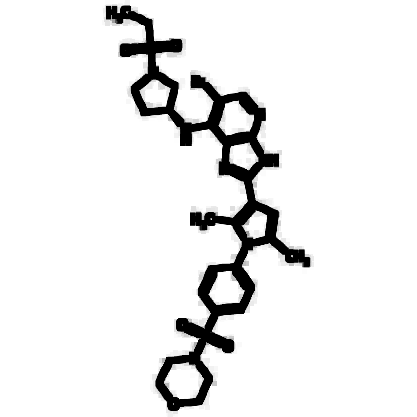 CCS(=O)(=O)N1CC[C@H](Nc2c(Br)cnc3[nH]c(-c4cc(C)n(-c5ccc(S(=O)(=O)N6CCOCC6)cc5)c4C)nc23)C1